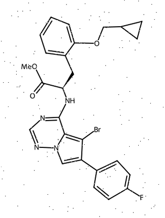 COC(=O)[C@@H](Cc1ccccc1OCC1CC1)Nc1ncnn2cc(-c3ccc(F)cc3)c(Br)c12